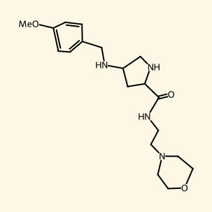 COc1ccc(CNC2CNC(C(=O)NCCN3CCOCC3)C2)cc1